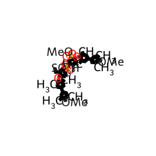 COc1c(C)cc(-c2cc(C)c(Oc3ccc(S(=O)(=O)c4ccc(Oc5c(C)cc(-c6cc(C)c(OC)c(C)c6)cc5C)c(S(=O)(=O)OC)c4)cc3CS(=O)(=O)O)c(C)c2)cc1C